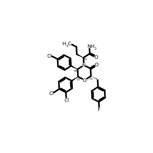 CCC[C@@H](C(N)=O)N1C(=O)[C@H](Cc2ccc(F)cc2)O[C@@H](c2ccc(Cl)c(Cl)c2)[C@H]1c1ccc(Cl)cc1